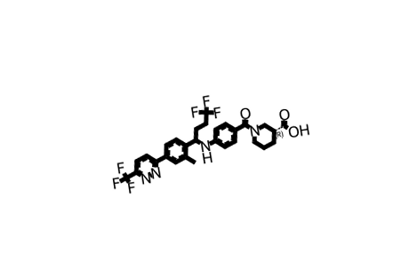 Cc1cc(-c2ccc(C(F)(F)F)nn2)ccc1C(CCC(F)(F)F)Nc1ccc(C(=O)N2CCC[C@@H](C(=O)O)C2)cc1